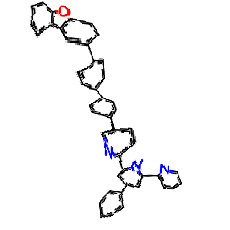 c1ccc(-c2cc(-c3ccccn3)nc(-c3ccc(-c4ccc(-c5ccc(-c6ccc7oc8ccccc8c7c6)cc5)cc4)cn3)c2)cc1